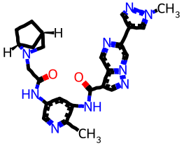 Cc1ncc(NC(=O)CN2C[C@H]3CC[C@@H]2C3)cc1NC(=O)c1cnn2cc(-c3cnn(C)c3)ncc12